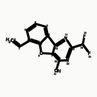 C=Cc1cccc2c1oc1c(O)nc(C(F)F)nc12